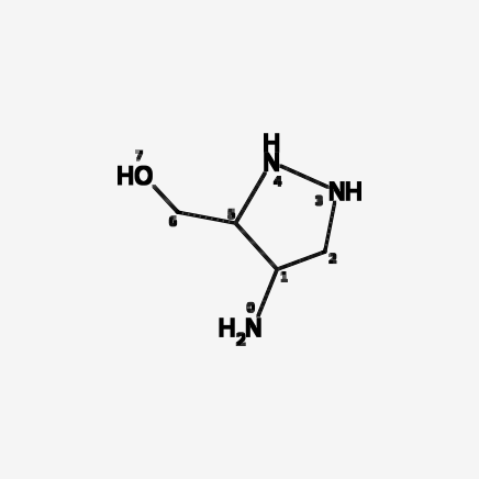 NC1CNNC1CO